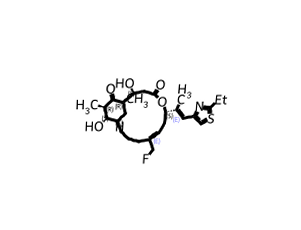 CCc1nc(/C=C(\C)[C@@H]2C/C=C(/CF)CCC[C@@H]3C[C@@](C)(C(=O)[C@H](C)[C@H]3O)[C@@H](O)CC(=O)O2)cs1